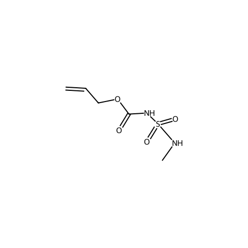 C=CCOC(=O)NS(=O)(=O)NC